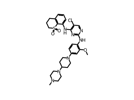 COc1cc(N2CCC(N3CCN(C)CC3)CC2)ccc1Nc1ncc(Cl)c(Nc2cccc3c2S(=O)(=O)CCC3)n1